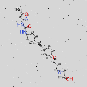 CC(C)(C)c1cc(NC(=O)Nc2ccc(C#Cc3ccc(OCCCN4CC(O)C4)cc3)cc2)no1